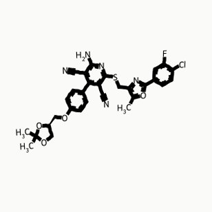 Cc1oc(-c2ccc(Cl)c(F)c2)nc1CSc1nc(N)c(C#N)c(-c2ccc(OC[C@H]3COC(C)(C)O3)cc2)c1C#N